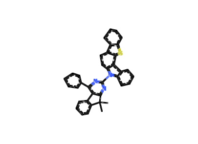 CC1(C)c2ccccc2-c2c(-c3ccccc3)nc(-n3c4ccccc4c4c5sc6ccccc6c5ccc43)nc21